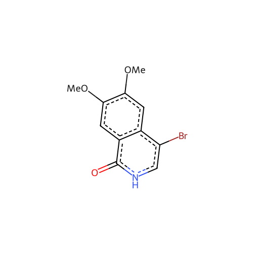 COc1cc2c(Br)c[nH]c(=O)c2cc1OC